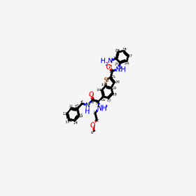 COCCNC(C(=O)NCc1ccccc1)c1ccc2cc(C(=O)Nc3ccccc3N)sc2c1